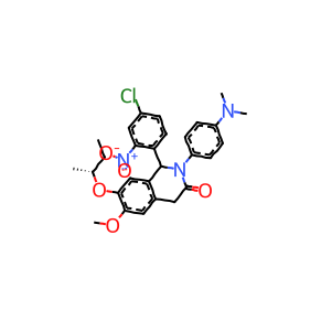 CC[C@@H](C)Oc1cc2c(cc1OC)CC(=O)N(c1ccc(N(C)C)cc1)C2c1ccc(Cl)cc1[N+](=O)[O-]